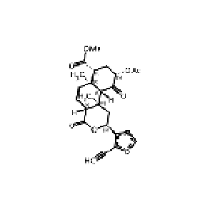 C#Cc1occc1[C@@H]1C[C@]2(C)[C@H]3C(=O)[C@@H](OC(C)=O)C[C@@H](C(=O)OC)[C@]3(C)CC[C@H]2C(=O)O1